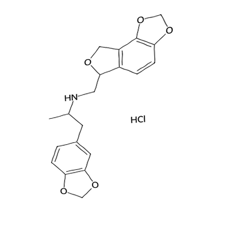 CC(Cc1ccc2c(c1)OCO2)NCC1OCc2c1ccc1c2OCO1.Cl